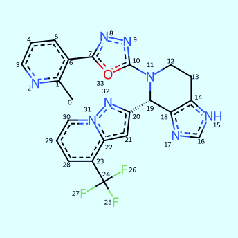 Cc1ncccc1-c1nnc(N2CCc3[nH]cnc3[C@@H]2c2cc3c(C(F)(F)F)cccn3n2)o1